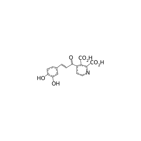 O=C(C=Cc1ccc(O)c(O)c1)c1ccnc(C(=O)O)c1C(=O)O